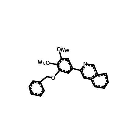 COc1cc(-c2cc3ccccc3cn2)cc(OCc2ccccc2)c1OC